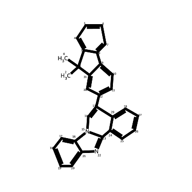 CC1(C)c2ccccc2-c2ccc(-c3cn4c5ccccc5nc4c4ccccc34)cc21